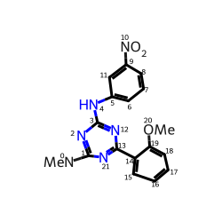 CNc1nc(Nc2cccc([N+](=O)[O-])c2)nc(-c2ccccc2OC)n1